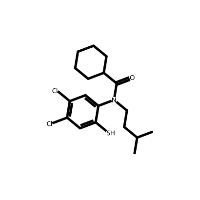 CC(C)CCN(C(=O)C1CCCCC1)c1cc(Cl)c(Cl)cc1S